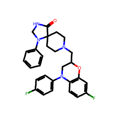 O=C1NCN(c2ccccc2)C12CCN(CC1CN(c3ccc(F)cc3)c3ccc(F)cc3O1)CC2